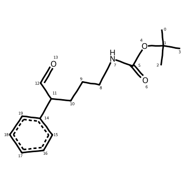 CC(C)(C)OC(=O)NCCCC(C=O)c1ccccc1